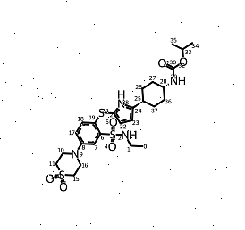 CCNS(=O)(=O)c1cc(N2CCS(=O)(=O)CC2)ccc1Sc1ccc([C@H]2CC[C@H](NC(=O)OC(C)C)CC2)[nH]1